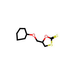 S=C1OC(COC2CCCCC2)CS1